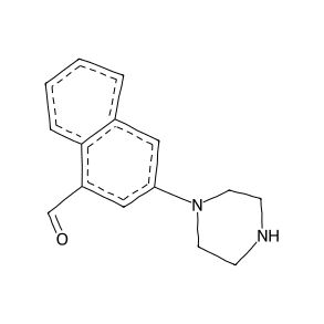 O=Cc1cc(N2CCNCC2)cc2ccccc12